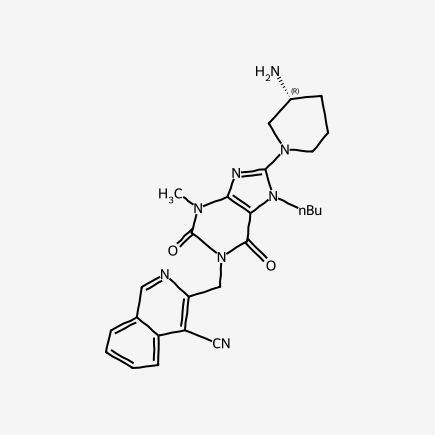 CCCCn1c(N2CCC[C@@H](N)C2)nc2c1c(=O)n(Cc1ncc3ccccc3c1C#N)c(=O)n2C